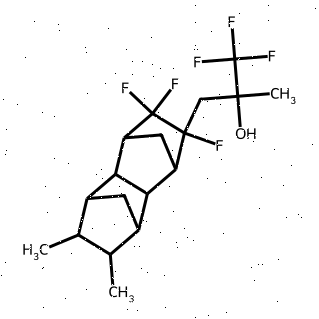 CC1C(C)C2CC1C1C2C2CC1C(F)(F)C2(F)CC(C)(O)C(F)(F)F